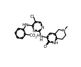 CN1CCc2[nH]c(=O)c(Nc3ncc(Cl)c(Nc4ccccc4C(=O)O)n3)cc2C1